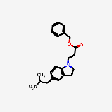 CC(Cc1ccc2c(c1)CCN2CCC(=O)OCc1ccccc1)[N+](=O)[O-]